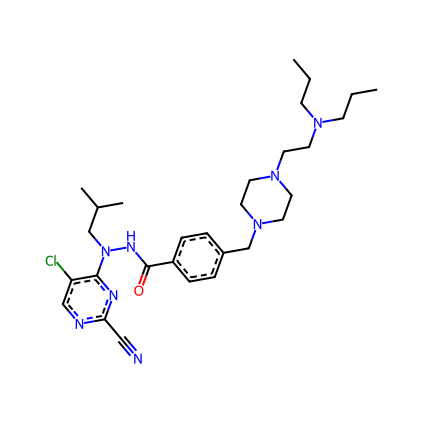 CCCN(CCC)CCN1CCN(Cc2ccc(C(=O)NN(CC(C)C)c3nc(C#N)ncc3Cl)cc2)CC1